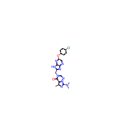 Cc1nc(N(C)C)n2ncn(Cc3nc4ncc(Oc5ccc(Cl)cc5)nc4[nH]3)c(=O)c12